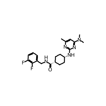 Cc1cc(N(C)C)nc(N[C@H]2CC[C@@H](C(=O)NCc3cccc(F)c3F)CC2)n1